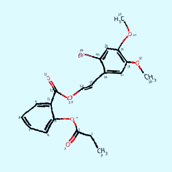 CCC(=O)Oc1ccccc1C(=O)OC=Cc1cc(OC)c(OC)cc1Br